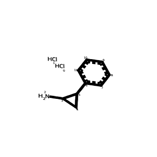 Cl.Cl.NC1CC1c1ccccc1